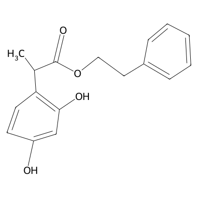 CC(C(=O)OCCc1ccccc1)c1ccc(O)cc1O